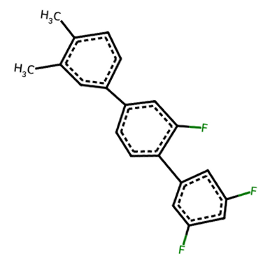 Cc1ccc(-c2ccc(-c3cc(F)cc(F)c3)c(F)c2)cc1C